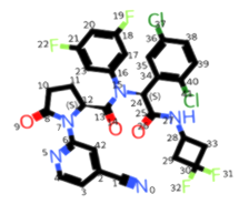 N#Cc1ccnc(N2C(=O)CC[C@H]2C(=O)N(c2cc(F)cc(F)c2)[C@H](C(=O)NC2CC(F)(F)C2)c2cc(Cl)ccc2Cl)c1